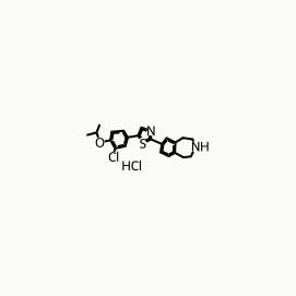 CC(C)Oc1ccc(-c2cnc(-c3ccc4c(c3)CCNCC4)s2)cc1Cl.Cl